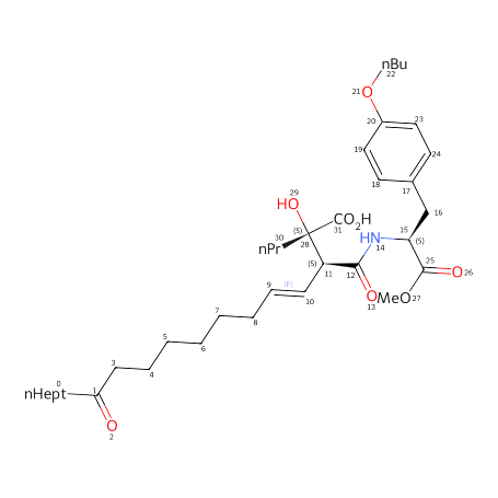 CCCCCCCC(=O)CCCCCC/C=C/[C@H](C(=O)N[C@@H](Cc1ccc(OCCCC)cc1)C(=O)OC)[C@@](O)(CCC)C(=O)O